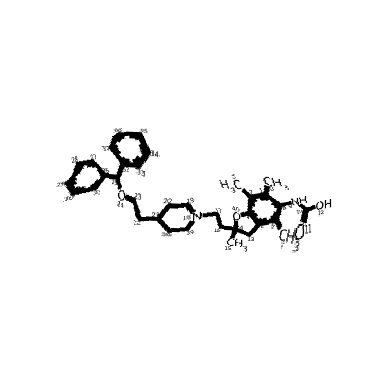 Cc1c(C)c2c(c(C)c1NC(=O)O)CC(C)(CCN1CCC(CCOC(c3ccccc3)c3ccccc3)CC1)O2